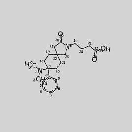 CN(C)C1(c2ccccc2)CCC2(CC1)CC(=O)N(CCCC(=O)O)C2